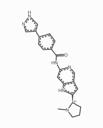 CN1CCC[C@@H]1c1cc2cnc(NC(=O)c3ccc(-c4cn[nH]c4)cc3)cc2[nH]1